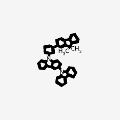 CC1(C)c2ccccc2-c2ccc(-c3cccc(-n4c5ccccc5c5cc(-n6c7ccccc7c7ccccc76)ccc54)c3)cc21